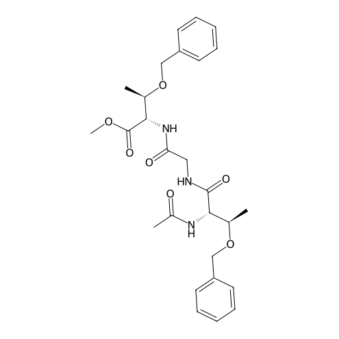 COC(=O)[C@@H](NC(=O)CNC(=O)[C@@H](NC(C)=O)[C@@H](C)OCc1ccccc1)[C@@H](C)OCc1ccccc1